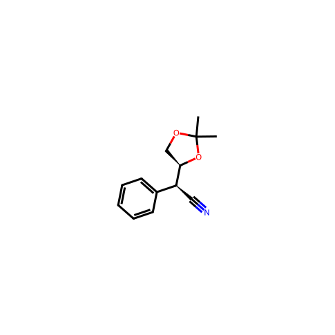 CC1(C)OC[C@H]([C@@H](C#N)c2ccccc2)O1